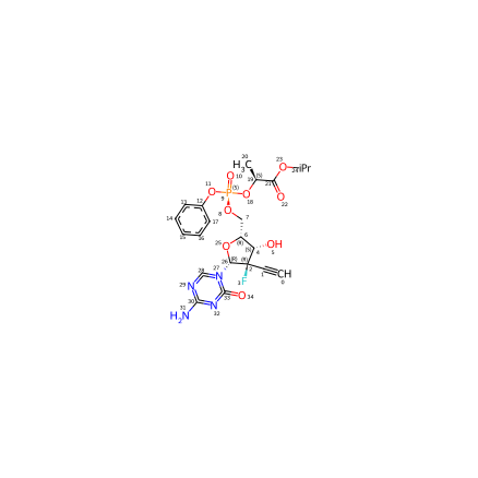 C#C[C@@]1(F)[C@@H](O)[C@@H](CO[P@](=O)(Oc2ccccc2)O[C@@H](C)C(=O)OC(C)C)O[C@H]1n1cnc(N)nc1=O